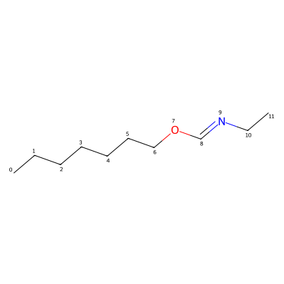 CCCCCCCOC=NCC